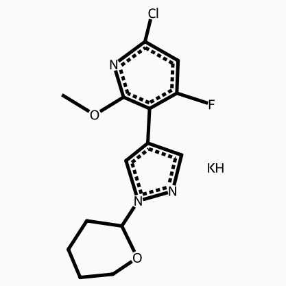 COc1nc(Cl)cc(F)c1-c1cnn(C2CCCCO2)c1.[KH]